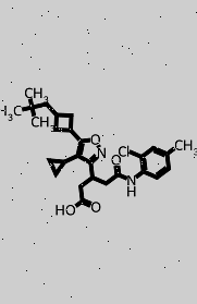 Cc1ccc(NC(=O)CC(CC(=O)O)c2noc(C3CC(CC(C)(C)C)C3)c2C2CC2)c(Cl)c1